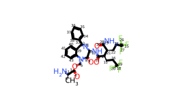 C[C@H](N)C(=O)OCN1C(=O)[C@@H](NC(=O)[C@H](CCC(F)(F)F)[C@H](CCC(F)(F)F)C(N)=O)N=C(c2ccccc2)c2ccccc21